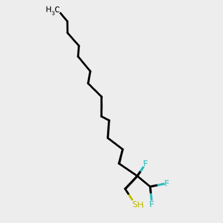 CCCCCCCCCCCCCC(F)(CS)C(F)F